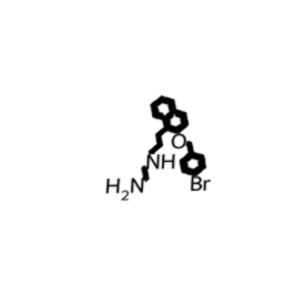 NCCNCCCc1c(OCc2ccc(Br)cc2)ccc2ccccc12